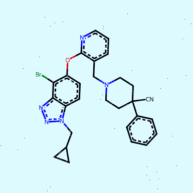 N#CC1(c2ccccc2)CCN(Cc2cccnc2Oc2ccc3c(nnn3CC3CC3)c2Br)CC1